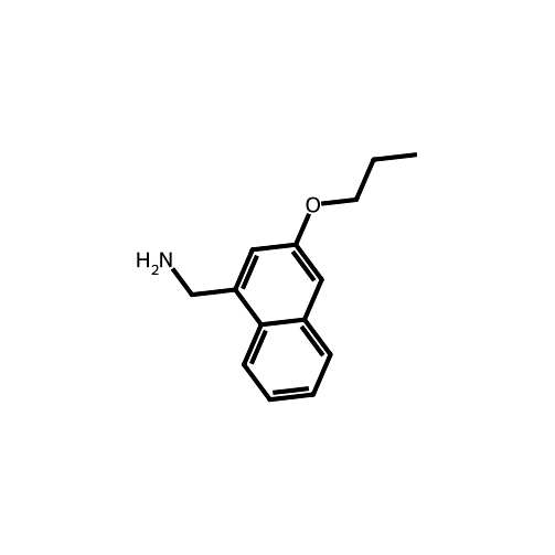 CCCOc1cc(CN)c2ccccc2c1